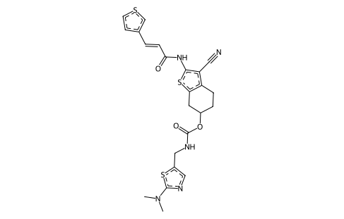 CN(C)c1ncc(CNC(=O)OC2CCc3c(sc(NC(=O)C=Cc4ccsc4)c3C#N)C2)s1